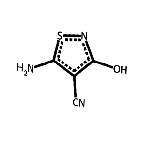 N#Cc1c(O)nsc1N